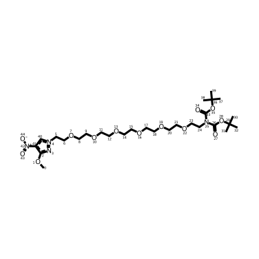 COc1nn(CCOCCOCCOCCOCCOCCOCCN(C(=O)OC(C)(C)C)C(=O)OC(C)(C)C)cc1[N+](=O)[O-]